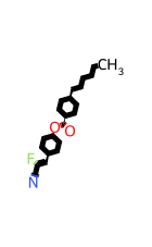 CCCCCC[C@H]1CC[C@H](C(=O)O[C@H]2CC[C@H](C=C(F)C#N)CC2)CC1